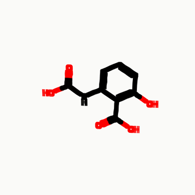 O=C(O)Bc1cccc(O)c1C(=O)O